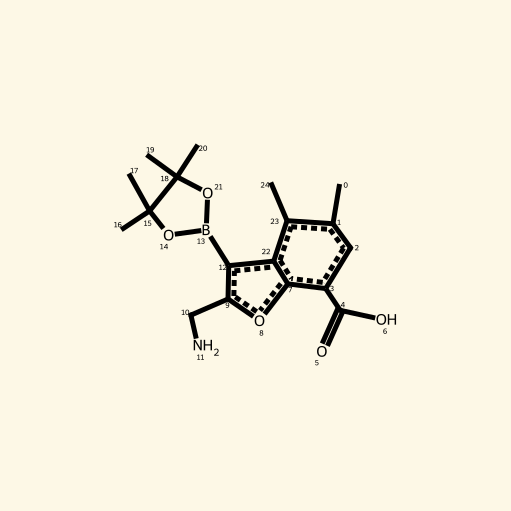 Cc1cc(C(=O)O)c2oc(CN)c(B3OC(C)(C)C(C)(C)O3)c2c1C